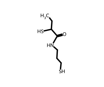 CCC(S)C(=O)NCCCS